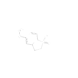 CCCOc1ccc2c(c1)CCS2(=O)=O